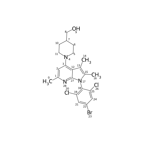 Cc1cc(N2CCC(CO)CC2)c2c(C)c(C)n(-c3c(Cl)cc(Br)cc3Cl)c2n1